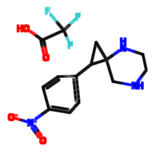 O=C(O)C(F)(F)F.O=[N+]([O-])c1ccc(C2CC23CNCCN3)cc1